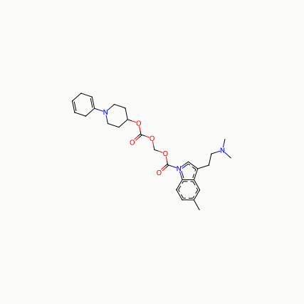 Cc1ccc2c(c1)c(CCN(C)C)cn2C(=O)OCOC(=O)OC1CCN(C2=CCC=CC2)CC1